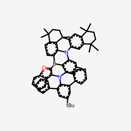 Cc1cc2c3c(c1)N(c1c(-c4ccccc4)cc(C(C)(C)C)cc1-c1ccccc1)c1c(oc4ccccc14)B3c1ccc3c4c1N2c1cc2c(cc1C4(C)CCC3(C)C)C(C)(C)CCC2(C)C